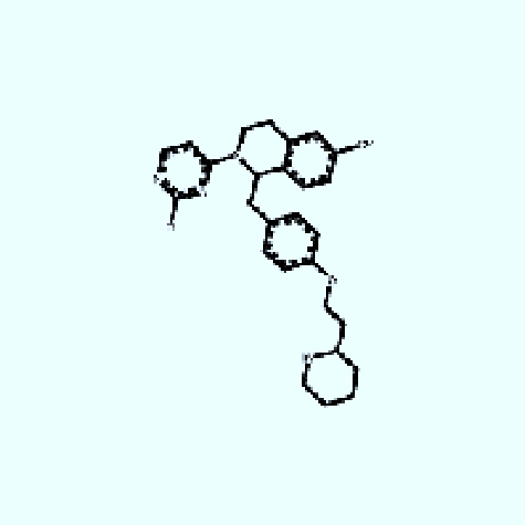 Oc1ccc2c(c1)CCN(c1ccnc(Cl)n1)C2Cc1ccc(OCCC2CCCCN2)cc1